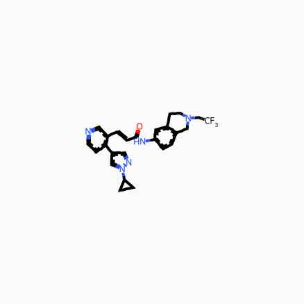 O=C(C=Cc1cnccc1-c1cnn(C2CC2)c1)Nc1ccc2c(c1)CCN(CC(F)(F)F)C2